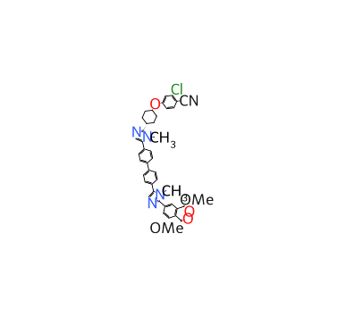 COC(=O)c1ccc(-c2ncc(-c3ccc(-c4ccc(-c5cnc([C@H]6CC[C@H](Oc7ccc(C#N)c(Cl)c7)CC6)n5C)cc4)cc3)n2C)cc1C(=O)OC